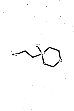 [O-][N+]1(CCO)CCOCS1